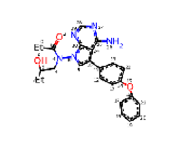 CCC(=O)N(CC(O)CC)n1cc(-c2ccc(Oc3ccccc3)cc2)c2c(N)ncnc21